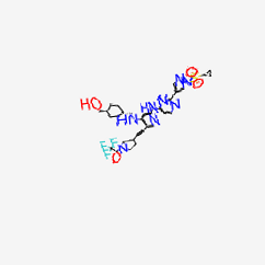 O=C(N1CCC(C#Cc2cnc(Nc3ccnc(-c4cnn(S(=O)(=O)C5CC5)c4)n3)cc2NC[C@H]2CC[C@H](CO)CC2)C1)C(F)(F)F